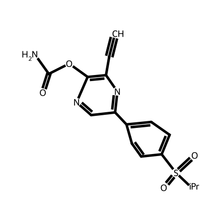 C#Cc1nc(-c2ccc(S(=O)(=O)C(C)C)cc2)cnc1OC(N)=O